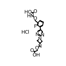 Cl.O=C(O)CON=C1CN(c2ncc(-c3cccc(CONC(=O)O)c3F)cn2)C1